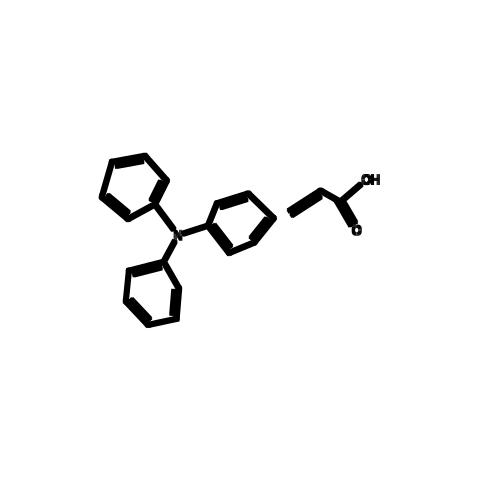 C=CC(=O)O.c1ccc(N(c2ccccc2)c2ccccc2)cc1